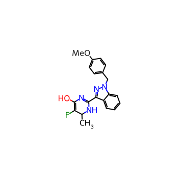 COc1ccc(Cn2nc(C3=NC(O)=C(F)C(C)N3)c3ccccc32)cc1